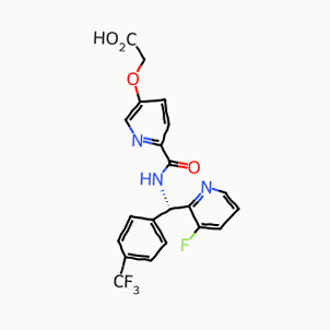 O=C(O)COc1ccc(C(=O)N[C@@H](c2ccc(C(F)(F)F)cc2)c2ncccc2F)nc1